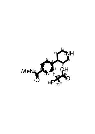 CNC(=O)c1ccc(C2CCNCC2)cn1.O=C(O)C(F)(F)F